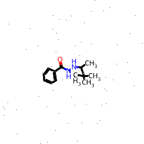 CC(NNC(=O)c1ccccc1)C(C)(C)C